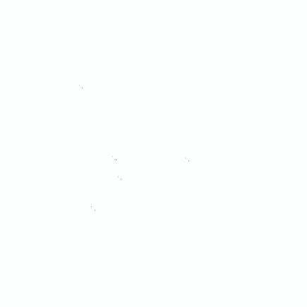 Clc1cncc(Cl)c1-c1cc2nccc(C3CCCN(Cc4ccccc4)C3)n2n1